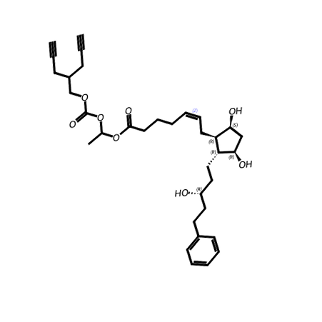 C#CCC(CC#C)COC(=O)OC(C)OC(=O)CCC/C=C\C[C@@H]1[C@@H](CC[C@@H](O)CCc2ccccc2)[C@H](O)C[C@@H]1O